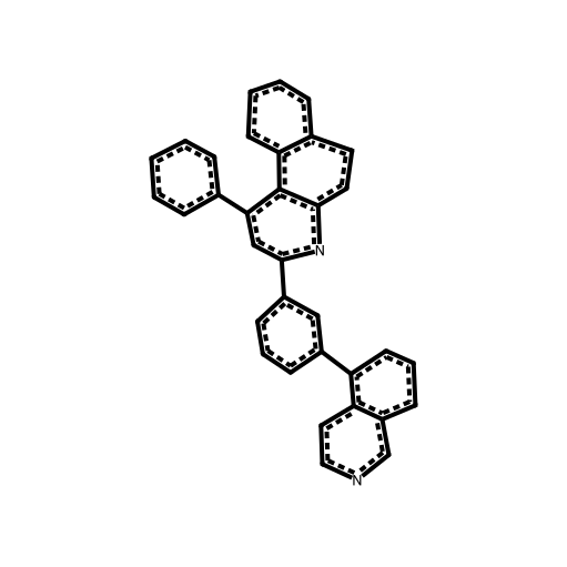 c1ccc(-c2cc(-c3cccc(-c4cccc5cnccc45)c3)nc3ccc4ccccc4c23)cc1